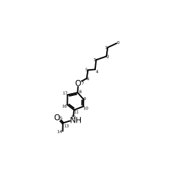 CCCCCCCOc1ccc(NC(C)=O)cc1